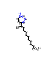 CCC(CCCCCCCCCC(=O)O)C1=NN=NNC=C1